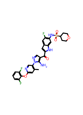 Cc1cc(Oc2c(F)cccc2F)ncc1-n1ncc(C(=O)c2cc3cc(F)c(NS(=O)(=O)C4CCOCC4)cc3[nH]2)c1N